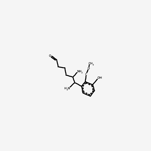 COCc1c(O)cccc1C(N)C(N)CCCC=O